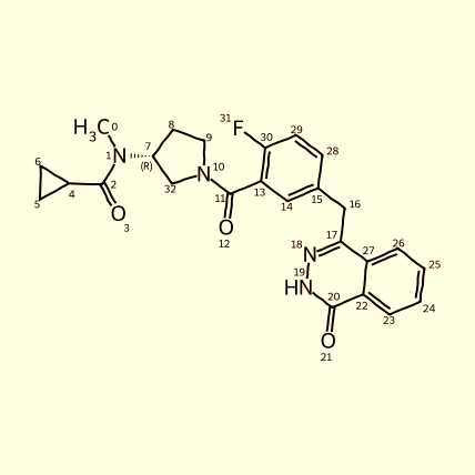 CN(C(=O)C1CC1)[C@@H]1CCN(C(=O)c2cc(Cc3n[nH]c(=O)c4ccccc34)ccc2F)C1